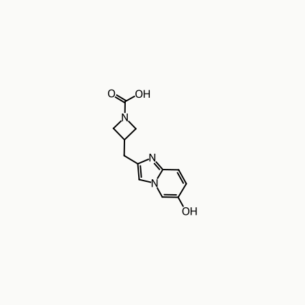 O=C(O)N1CC(Cc2cn3cc(O)ccc3n2)C1